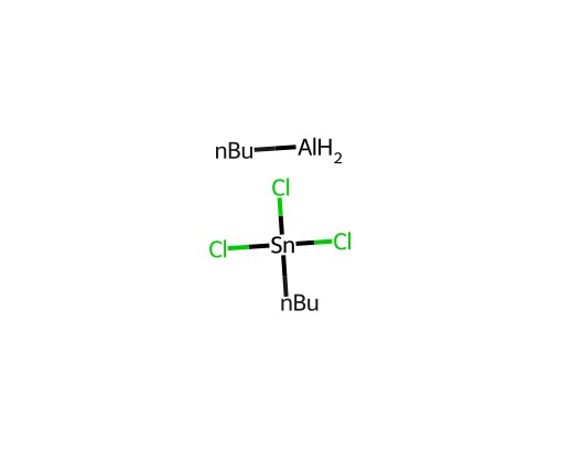 CCC[CH2][AlH2].CCC[CH2][Sn]([Cl])([Cl])[Cl]